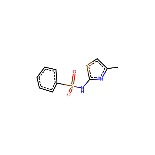 Cc1csc(NS(=O)(=O)c2ccccc2)n1